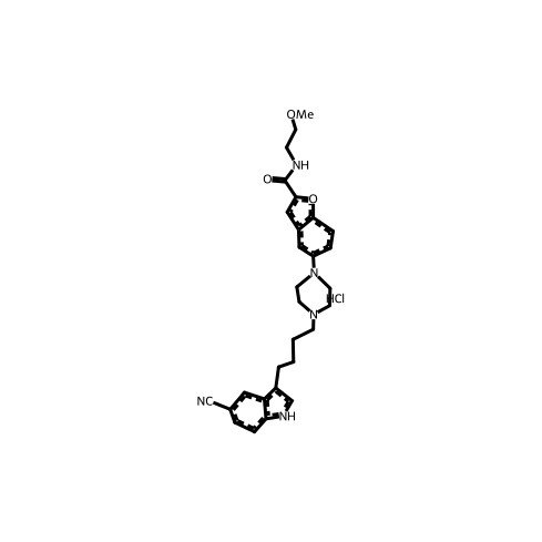 COCCNC(=O)c1cc2cc(N3CCN(CCCCc4c[nH]c5ccc(C#N)cc45)CC3)ccc2o1.Cl